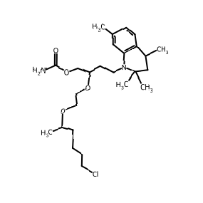 Cc1ccc2c(c1)N(CCC(COC(N)=O)OCCOC(C)CCCCCl)C(C)(C)CC2C